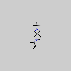 C=CC(=C)N1CCC2(C1)CN(C(C)(C)C)C2